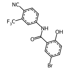 N#Cc1ccc(NC(=O)c2cc(Br)ccc2O)cc1C(F)(F)F